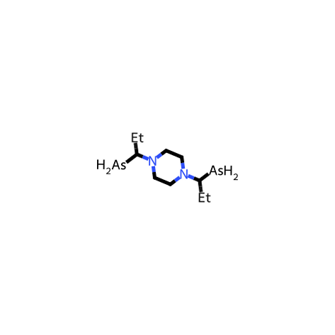 CCC([AsH2])N1CCN(C([AsH2])CC)CC1